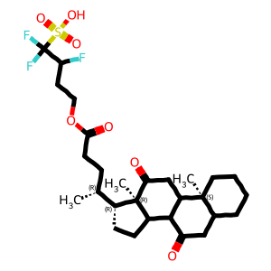 C[C@H](CCC(=O)OCCC(F)C(F)(F)S(=O)(=O)O)[C@H]1CCC2C3C(=O)CC4CCCC[C@]4(C)C3CC(=O)[C@@]21C